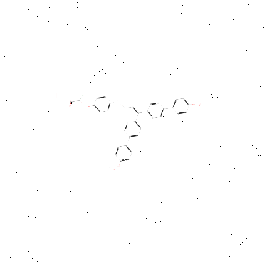 COc1ccc(-c2ccc(C(=CCSc3ccc(OC(Cl)C(=O)O)cc3)c3ccc(-c4ccc(OC)cc4)cc3)cc2)cc1